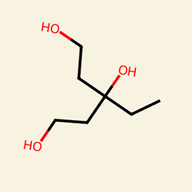 CCC(O)(CCO)CCO